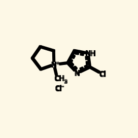 C[N+]1(c2c[nH]c(Cl)n2)CCCC1.[Cl-]